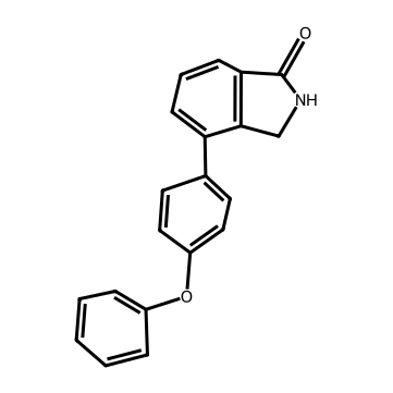 O=C1NCc2c1cccc2-c1ccc(Oc2ccccc2)cc1